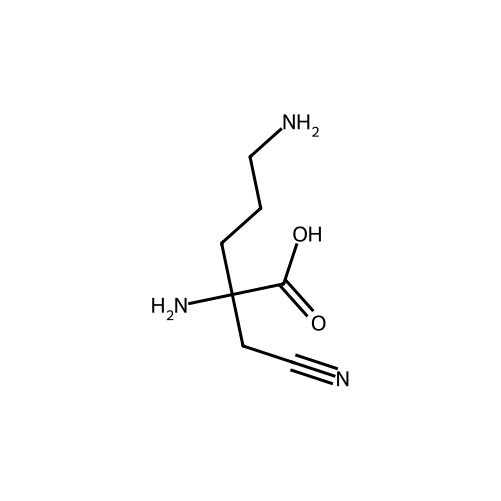 N#CCC(N)(CCCN)C(=O)O